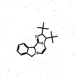 CC(C)(C)C1N=C2C3c4ccccc4CN3C=CN2C1C(C)(C)C